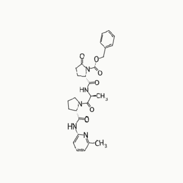 Cc1cccc(NC(=O)[C@@H]2CCCN2C(=O)[C@H](C)NC(=O)[C@@H]2CCC(=O)N2C(=O)OCc2ccccc2)n1